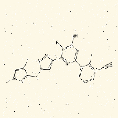 C#Cc1cccc(-c2nc(N)c(F)c(-c3cn(Cc4nn(C)cc4F)nn3)n2)c1C